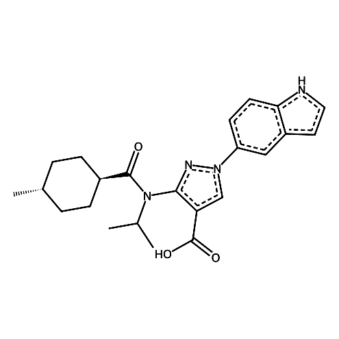 CC(C)N(c1nn(-c2ccc3[nH]ccc3c2)cc1C(=O)O)C(=O)[C@H]1CC[C@H](C)CC1